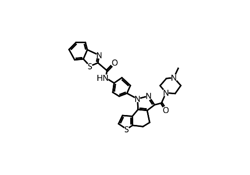 CN1CCN(C(=O)c2nn(-c3ccc(NC(=O)c4nc5ccccc5s4)cc3)c3c2CCc2sccc2-3)CC1